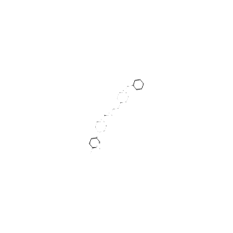 Cc1ccc(N2CCN(C(=O)NCCC3CCN(Cc4ccccc4)CC3)[C@H](C)C2)cn1